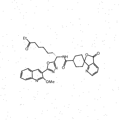 CCC(=O)CCCCC[C@H](NC(=O)C1CCC2(CC1)OC(=O)c1cccnc12)c1nnc(-c2cc3ccccc3nc2OC)o1